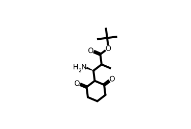 CC(C(=O)OC(C)(C)C)[C@H](N)C1C(=O)CCCC1=O